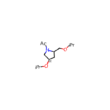 CC(=O)N1C[C@H](OC(C)C)CC1COC(C)C